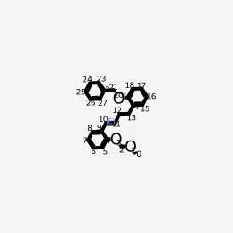 COCOc1ccccc1/C=C/CCc1ccccc1OCc1ccccc1